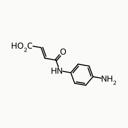 Nc1ccc(NC(=O)C=CC(=O)O)cc1